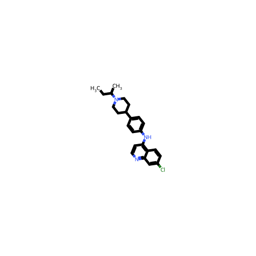 CCC(C)N1CCC(c2ccc(Nc3ccnc4cc(Cl)ccc34)cc2)CC1